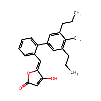 [CH2]c1c(CCC)cc(-c2ccccc2/C=C2\OC(=O)C=C2O)cc1CCC